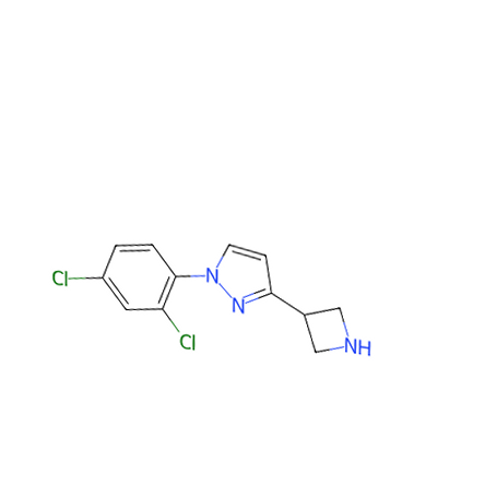 Clc1ccc(-n2ccc(C3CNC3)n2)c(Cl)c1